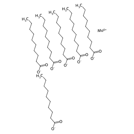 CCCCCCCCCC(=O)[O-].CCCCCCCCCC(=O)[O-].CCCCCCCCCC(=O)[O-].CCCCCCCCCC(=O)[O-].CCCCCCCCCC(=O)[O-].CCCCCCCCCC(=O)[O-].[Mo+6]